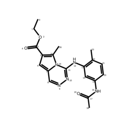 CCOC(=O)c1cc2cnnc(Nc3cc(NC(C)=O)ccc3C)n2c1C